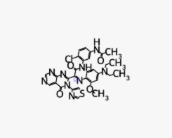 CCN(CC)c1ccc(/N=C(\C(=O)Nc2cc(NC(C)=O)ccc2Cl)c2nc3ncncc3c(=O)n2-c2cscn2)c(OC)c1